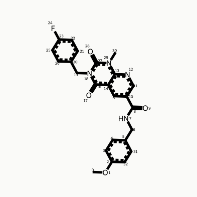 COc1ccc(CNC(=O)c2cnc3c(c2)c(=O)n(Cc2ccc(F)cc2)c(=O)n3C)cc1